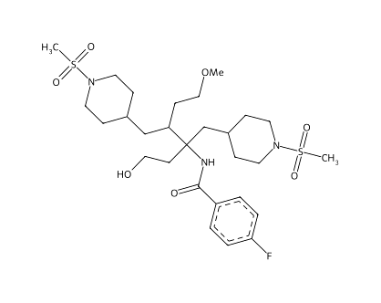 COCCC(CC1CCN(S(C)(=O)=O)CC1)C(CCO)(CC1CCN(S(C)(=O)=O)CC1)NC(=O)c1ccc(F)cc1